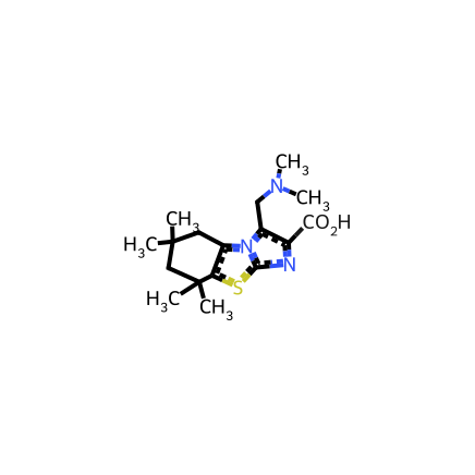 CN(C)Cc1c(C(=O)O)nc2sc3c(n12)CC(C)(C)CC3(C)C